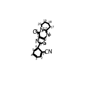 N#Cc1ccccc1-c1nc2c(=O)n3c(nc2s1)CCCC3